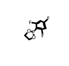 Fc1cc(F)c(P2OCCO2)c(F)c1